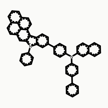 c1ccc(-c2ccc(N(c3ccc(-c4ccc5c6c7ccc8cccc9ccc(cc6n(-c6ccccc6)c5c4)c7c98)cc3)c3ccc4ccccc4c3)cc2)cc1